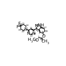 COC[C@H](C)OC1C=c2c(-c3cc(N4CCC(F)(F)CC4)ncn3)n[nH]c2=CC1